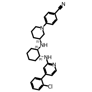 N#Cc1ccc(N2CCC[C@H](N[C@@H]3CCCC[C@H]3Nc3cc(-c4ccccc4Cl)ccn3)C2)cc1